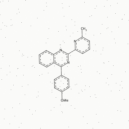 COc1ccc(-c2nc(-c3cccc(C)n3)nc3ccccc23)cc1